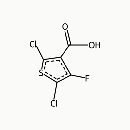 O=C(O)c1c(Cl)sc(Cl)c1F